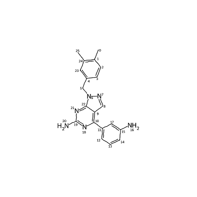 Cc1ccc(Cn2ncc3c(-c4cccc(N)c4)nc(N)nc32)cc1C